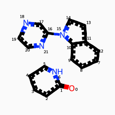 O=c1cccc[nH]1.c1ccc2c(c1)ccn2-c1cnccn1